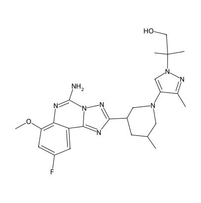 COc1cc(F)cc2c1nc(N)n1nc(C3CC(C)CN(c4cn(C(C)(C)CO)nc4C)C3)nc21